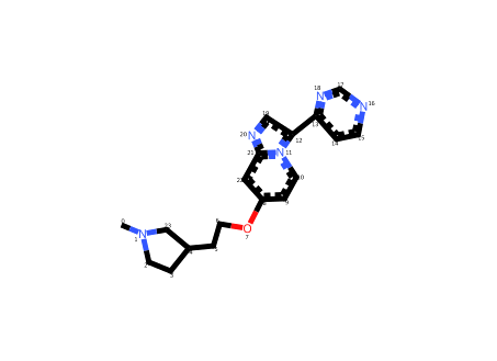 CN1CCC(CCOc2ccn3c(-c4ccncn4)cnc3c2)C1